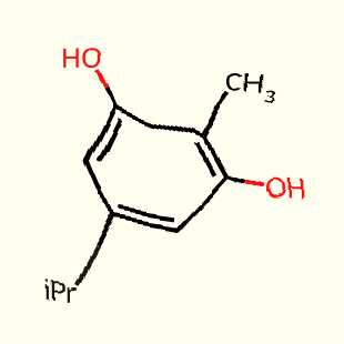 Cc1c(O)cc(C(C)C)cc1O